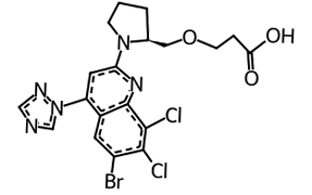 O=C(O)CCOC[C@@H]1CCCN1c1cc(-n2cncn2)c2cc(Br)c(Cl)c(Cl)c2n1